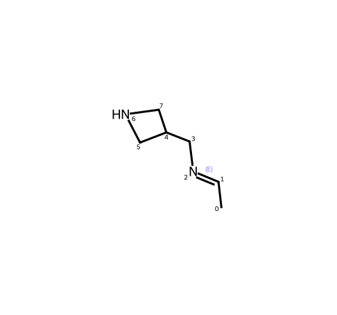 C/C=N/CC1CNC1